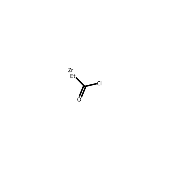 CCC(=O)Cl.[Zr]